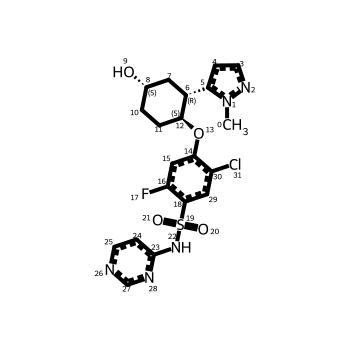 Cn1nccc1[C@H]1C[C@@H](O)CC[C@@H]1Oc1cc(F)c(S(=O)(=O)Nc2ccncn2)cc1Cl